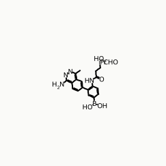 Cc1nnc(N)c2ccc(-c3cc(B(O)O)ccc3NC(=O)CCC(C)C)cc12.O=CO